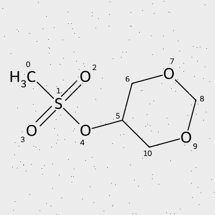 CS(=O)(=O)OC1COCOC1